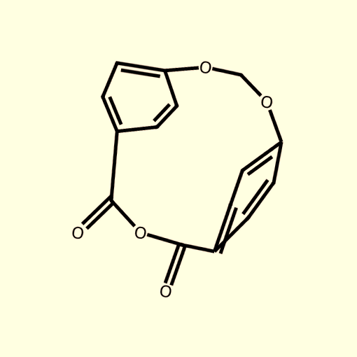 O=C1OC(=O)c2ccc(cc2)OCOc2ccc1cc2